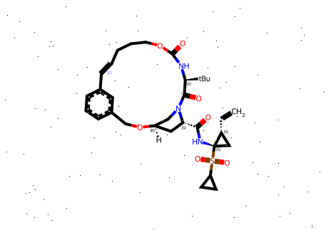 C=C[C@@H]1C[C@]1(NC(=O)[C@@H]1C[C@@H]2CN1C(=O)[C@H](C(C)(C)C)NC(=O)OCCC/C=C/c1cccc(c1)CO2)S(=O)(=O)C1CC1